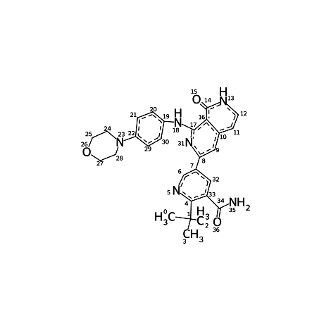 CC(C)(C)c1ncc(-c2cc3cc[nH]c(=O)c3c(Nc3ccc(N4CCOCC4)cc3)n2)cc1C(N)=O